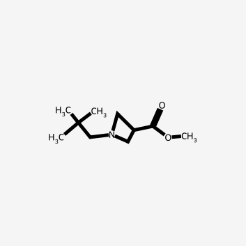 COC(=O)C1CN(CC(C)(C)C)C1